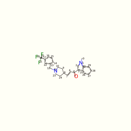 Cn1cc(C(=O)C=CC2CCN(Cc3cccc(C(F)(F)F)c3)CC2)c2ccccc21